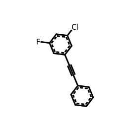 Fc1cc(Cl)cc(C#Cc2ccccc2)c1